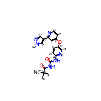 Cn1cc(-c2cc(Oc3ccc(NC(=O)NC(=O)C(C)(C)C#N)nc3)ccn2)cn1